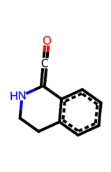 O=C=C1NCCc2ccccc21